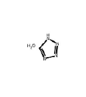 O.c1nnn[nH]1